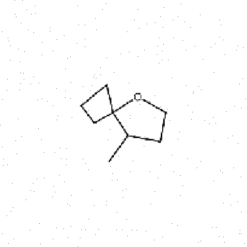 CC1CCOC12CCC2